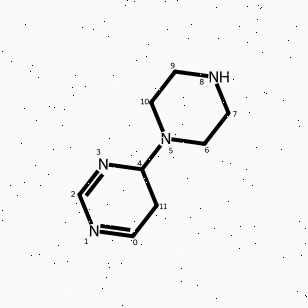 C1=NC=NC(N2CCNCC2)C1